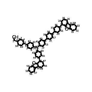 C=Cc1ccc(-c2ccc(N(c3ccc(-c4ccc(-c5ccc(-c6cccc7c6oc6ccccc67)cc5)cc4)cc3)c3ccc(-c4cccc5c4oc4ccccc45)cc3)cc2)cc1